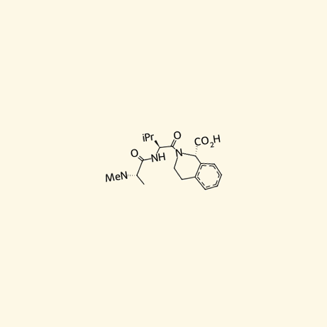 CN[C@@H](C)C(=O)N[C@H](C(=O)N1CCc2ccccc2[C@H]1C(=O)O)C(C)C